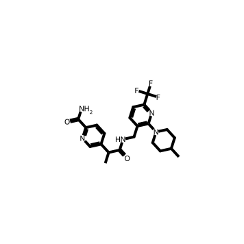 CC1CCN(c2nc(C(F)(F)F)ccc2CNC(=O)C(C)c2ccc(C(N)=O)nc2)CC1